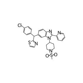 CS(=O)(=O)N1CCC(n2c(-c3ccccn3)nc3ccc(C(c4ccc(Cl)cc4)c4nccs4)cc32)CC1